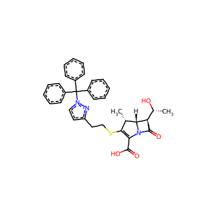 C[C@@H](O)[C@H]1C(=O)N2C(C(=O)O)=C(SCCc3ccn(C(c4ccccc4)(c4ccccc4)c4ccccc4)n3)[C@H](C)[C@H]12